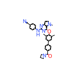 Cc1cc(-c2ccc(C(=O)N3CCC3)cc2)cc(C)c1Oc1nc(Nc2ccc(C#N)cc2)nc2ccn(C)c12